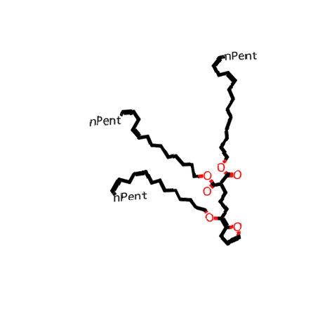 CCCCC/C=C\C/C=C\CCCCCCCCOC(=O)C(CCCC(OCCCCCCCC/C=C\C/C=C\CCCCC)=C1CC=CO1)C(=O)OCCCCCCCC/C=C\C/C=C\CCCCC